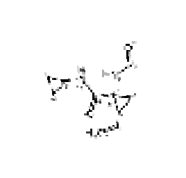 C=CC1C[C@]1(NC=O)C(=O)NC1CC1